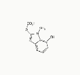 Cn1c(OC(=O)O)cc2cccc(O)c21